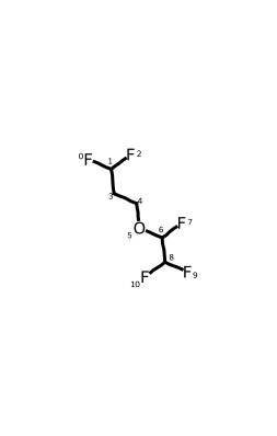 FC(F)CCOC(F)C(F)F